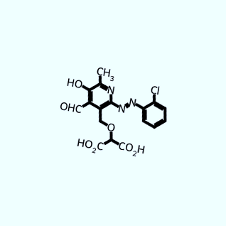 Cc1nc(/N=N/c2ccccc2Cl)c(COC(C(=O)O)C(=O)O)c(C=O)c1O